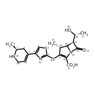 C[C@H]1CC(c2csc(SC3=C(C(=O)O)N4C(=O)[C@H]([C@@H](C)O)C4[C@H]3C)n2)=CCN1